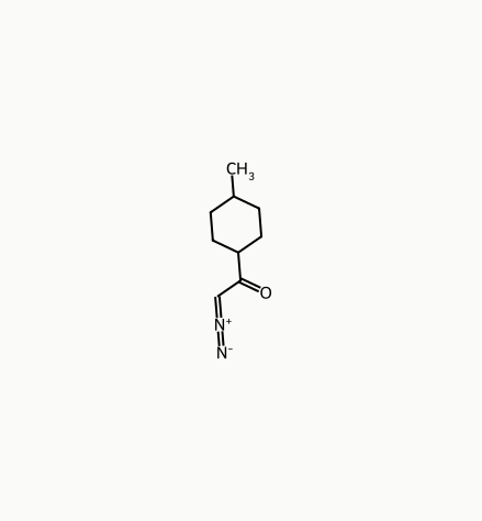 CC1CCC(C(=O)C=[N+]=[N-])CC1